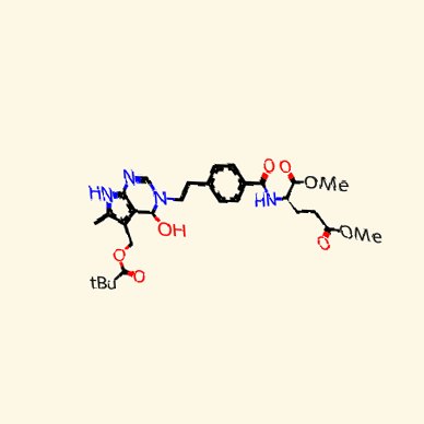 COC(=O)CC[C@@H](NC(=O)c1ccc(CCN2C=Nc3[nH]c(C)c(COC(=O)C(C)(C)C)c3C2O)cc1)C(=O)OC